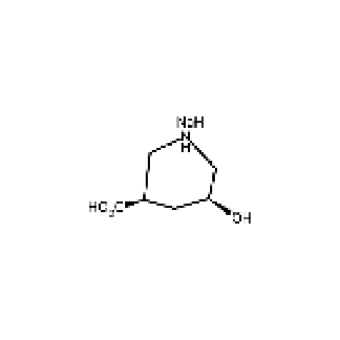 O=C(O)[C@H]1CNC[C@@H](O)C1.[NaH]